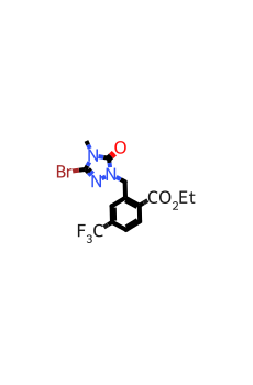 CCOC(=O)c1ccc(C(F)(F)F)cc1Cn1nc(Br)n(C)c1=O